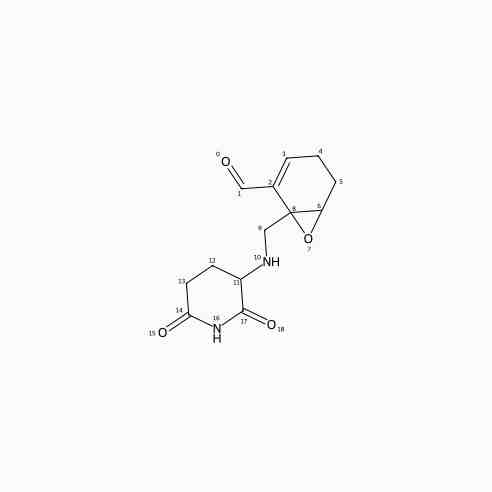 O=CC1=CCCC2OC12CNC1CCC(=O)NC1=O